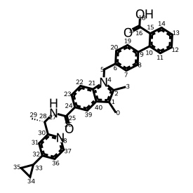 Cc1c(C)n(Cc2ccc(-c3ccccc3C(=O)O)cc2)c2ccc(C(=O)N[C@@H](C)c3cc(C4CC4)ccn3)cc12